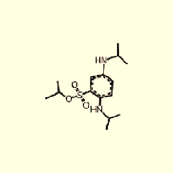 CC(C)Nc1ccc(NC(C)C)c(S(=O)(=O)OC(C)C)c1